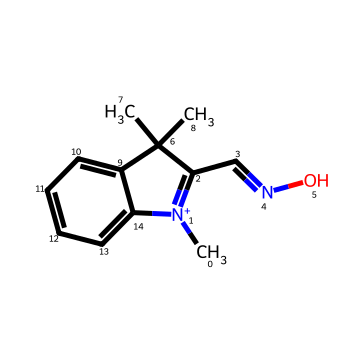 C[N+]1=C(C=NO)C(C)(C)c2ccccc21